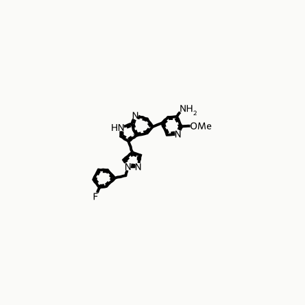 COc1ncc(-c2cnc3[nH]cc(-c4cnn(Cc5cccc(F)c5)c4)c3c2)cc1N